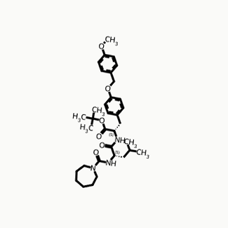 COc1ccc(COc2ccc(C[C@H](NC(=O)[C@H](CC(C)C)NC(=O)N3CCCCCC3)C(=O)OC(C)(C)C)cc2)cc1